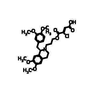 COc1ccc(C[C@@H]2c3cc(OC)c(OC)cc3CCN2CCCOC(=O)/C(Cl)=C/C(=O)O)cc1OC